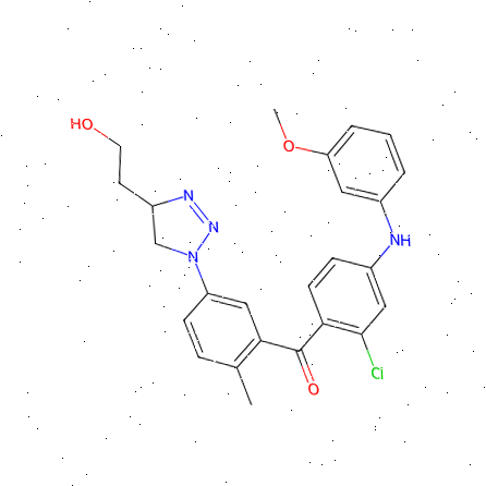 COc1cccc(Nc2ccc(C(=O)c3cc(N4CC(CCO)N=N4)ccc3C)c(Cl)c2)c1